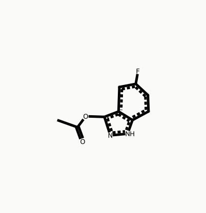 CC(=O)Oc1n[nH]c2ccc(F)cc12